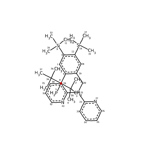 CC(C)(C)C(P)(c1cc([Si](C)(C)C)c([Si](C)(C)C)cc1CP(c1ccccn1)c1ccccn1)C(C)(C)C